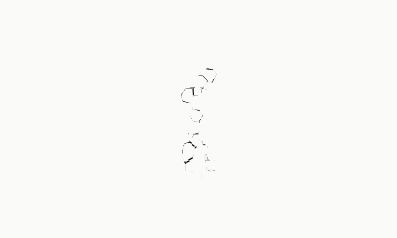 CC1(c2ccc(Cl)cc2F)Oc2cccc(-c3ccc(Cc4nc5ccc(C(=O)O)cc5n4C[C@@H]4CCO4)cc3)c2O1